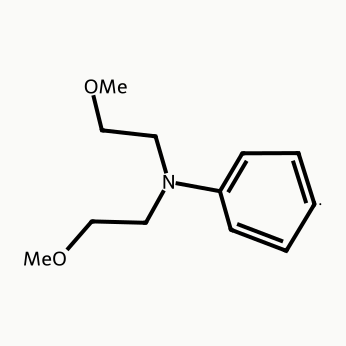 COCCN(CCOC)c1cc[c]cc1